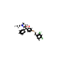 CN(C)CC(C)(O)C(c1ccccc1)c1ccc(SCc2ccc(Cl)cc2Cl)cc1